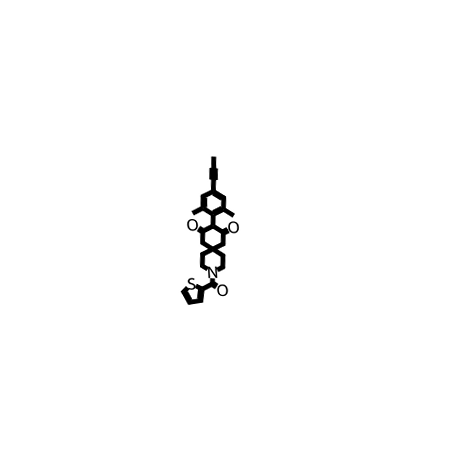 CC#Cc1cc(C)c(C2C(=O)CC3(CCN(C(=O)c4cccs4)CC3)CC2=O)c(C)c1